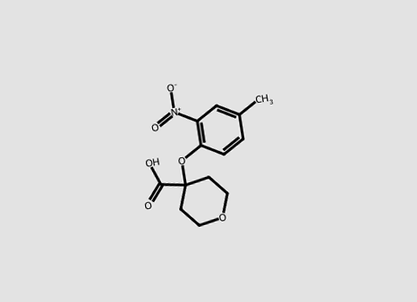 Cc1ccc(OC2(C(=O)O)CCOCC2)c([N+](=O)[O-])c1